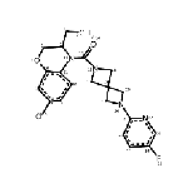 CCC1COc2cc(Cl)ccc2N1C(=O)N1CC2(C1)CN(c1ccc(F)cn1)C2